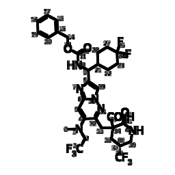 CN(CC(F)(F)F)c1cc2nc(C(NC(=O)OCc3ccccc3)C3CCC(F)(F)CC3)cn2nc1CC1(C(=O)O)C[C@@H](C(F)(F)F)CNC1=O